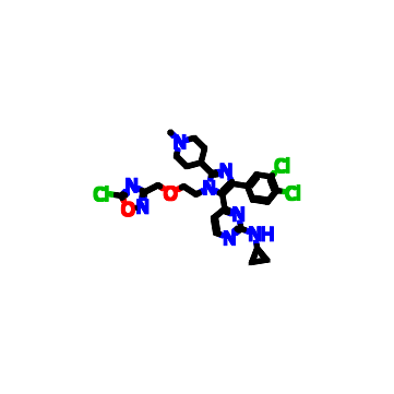 CN1CCC(c2nc(-c3ccc(Cl)c(Cl)c3)c(-c3ccnc(NC4CC4)n3)n2CCOCc2noc(Cl)n2)CC1